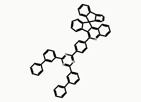 c1ccc(-c2cccc(-c3nc(-c4ccc(-c5nc6ccccc6c6c5-c5ccccc5C65c6ccccc6-c6ccccc65)cc4)nc(-c4cccc(-c5ccccc5)c4)n3)c2)cc1